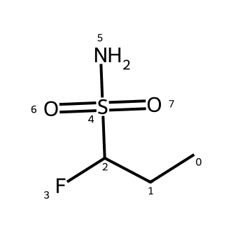 CCC(F)S(N)(=O)=O